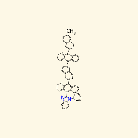 Cc1ccc2c(c1)CCC(c1c3c(c(-c4ccc5cc(-c6c7c(c(-c8nc9ccccc9n8C8C=CC=CC8)c8ccccc68)=CCCC=7)ccc5c4)c4ccccc14)=CCCC=3)=C2